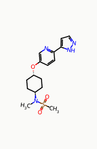 CN([C@H]1CC[C@H](Oc2ccc(-c3ccn[nH]3)nc2)CC1)S(C)(=O)=O